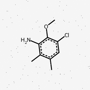 COc1c(Cl)cc(C)c(C)c1N